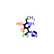 CCc1[nH]cc(C(n2ccnc2)C(F)(F)F)c(=O)c1O